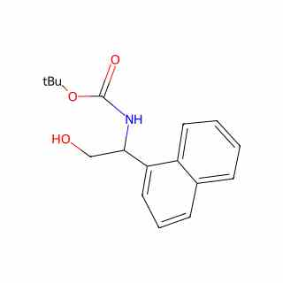 CC(C)(C)OC(=O)NC(CO)c1cccc2ccccc12